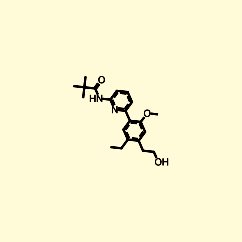 CCc1cc(-c2cccc(NC(=O)C(C)(C)C)n2)c(OC)cc1CCO